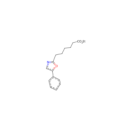 CCOC(=O)CCCCCc1ncc(-c2ccccc2)o1